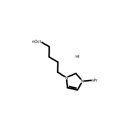 CCCCCCCCCCCCN1C=CN(CCC)C1.I